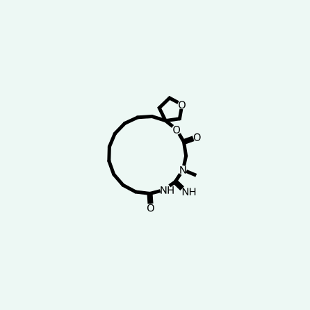 CN1CC(=O)OC2(CCCCCCCCCC(=O)NC1=N)CCOC2